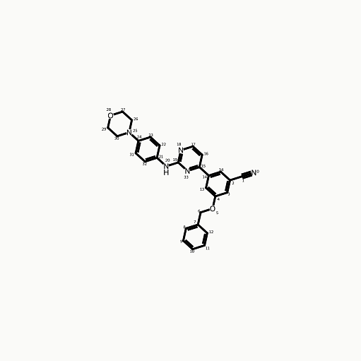 N#Cc1cc(OCc2ccccc2)cc(-c2ccnc(Nc3ccc(N4CCOCC4)cc3)n2)c1